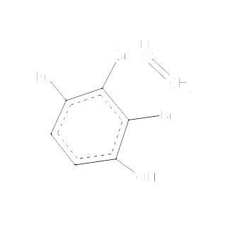 C=C.Oc1ccc(Br)c(Br)c1Br